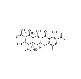 C=C(C)c1cc(C)c2c(c1O)C(=O)C1=C(O)[C@]3(O)C(=O)C(C(N)=O)=C(O)[C@@H](N(C)C)[C@@H]3[C@@H](O)[C@@H]1[C@H]2C